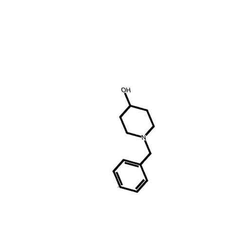 OC1CCN(Cc2cc[c]cc2)CC1